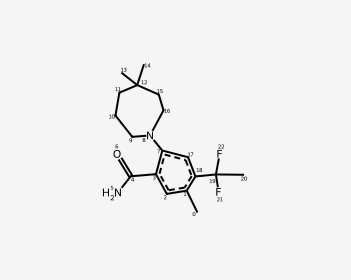 Cc1cc(C(N)=O)c(N2CCCC(C)(C)CC2)cc1C(C)(F)F